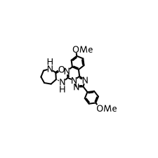 COc1ccc(-c2nc3c4ccc(OC)cc4nc(N[C@@H]4CCCCNC4=O)n3n2)cc1